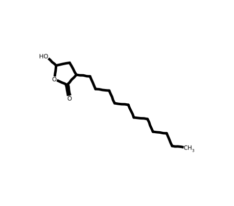 CCCCCCCCCCCC1CC(O)OC1=O